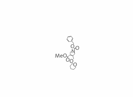 COC(=O)C1=C(COC2CCCCO2)CN(C(=O)OCc2ccccc2)C1